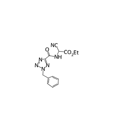 CCOC(=O)C(C#N)NC(=O)c1nnn(Cc2ccccc2)n1